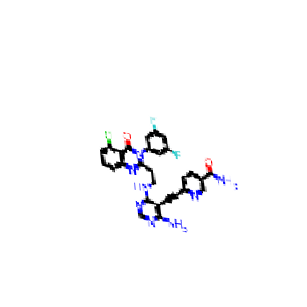 NC(=O)c1ccc(C#Cc2c(N)ncnc2NCCc2nc3cccc(Cl)c3c(=O)n2-c2cc(F)cc(F)c2)nc1